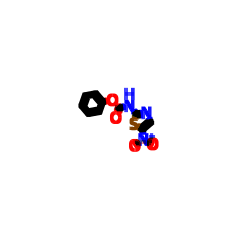 O=C(Nc1ncc([N+](=O)[O-])s1)Oc1ccccc1